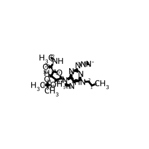 CCCNc1nc(N=[N+]=[N-])nc2c1ncn2[C@@H]1O[C@H](C(=O)NC)[C@H]2OC(C)(C)O[C@H]21